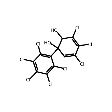 OC1C(Cl)=C(Cl)C(Cl)=CC1(O)c1c(Cl)c(Cl)c(Cl)c(Cl)c1Cl